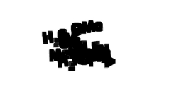 C=CC(=O)N1CC(n2nc(C#Cc3c(F)cc4c(ncn4C4CC4)c3F)c(C(N)=O)c2NC)C[C@@H]1CCOC